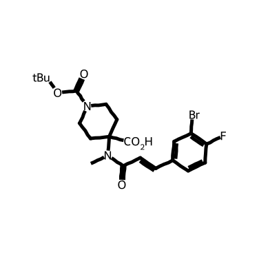 CN(C(=O)C=Cc1ccc(F)c(Br)c1)C1(C(=O)O)CCN(C(=O)OC(C)(C)C)CC1